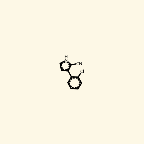 N#Cc1[nH]ccc1-c1ccccc1Cl